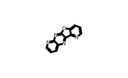 c1cnc2nc3oc4cccnc4c3nc2c1